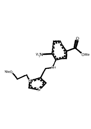 COCCn1cncc1CNc1cc(C(=O)OC)ccc1N